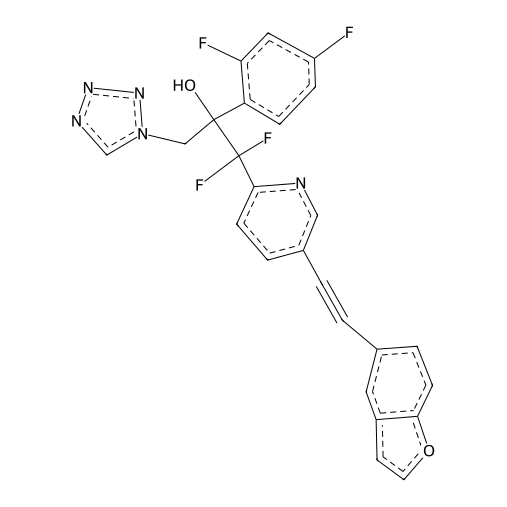 OC(Cn1cnnn1)(c1ccc(F)cc1F)C(F)(F)c1ccc(C#Cc2ccc3occc3c2)cn1